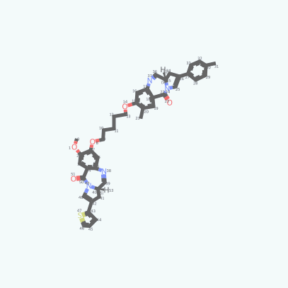 COc1cc2c(cc1OCCCCCOc1cc3c(cc1C)C(=O)N1C=C(c4ccc(C)cc4)C[C@H]1C=N3)N=C[C@@H]1CC(c3cccs3)=CN1C2=O